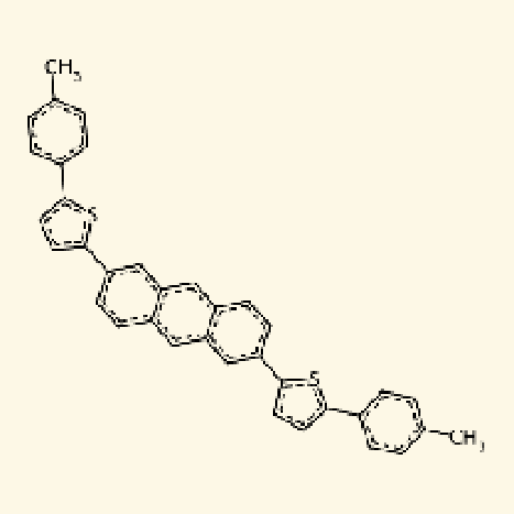 Cc1ccc(-c2ccc(-c3ccc4cc5cc(-c6ccc(-c7ccc(C)cc7)s6)ccc5cc4c3)s2)cc1